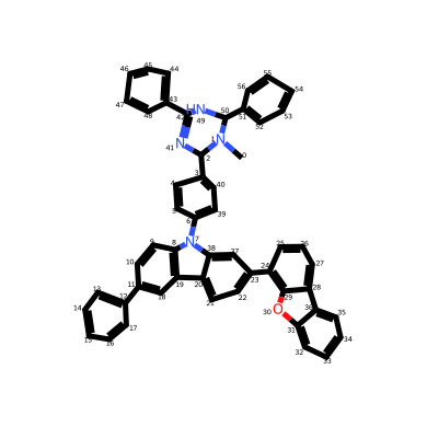 CN1C(c2ccc(-n3c4ccc(-c5ccccc5)cc4c4ccc(-c5cccc6c5oc5ccccc56)cc43)cc2)N=C(c2ccccc2)NC1c1ccccc1